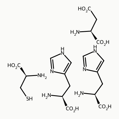 N[C@@H](CC(=O)O)C(=O)O.N[C@@H](CS)C(=O)O.N[C@@H](Cc1c[nH]cn1)C(=O)O.N[C@@H](Cc1c[nH]cn1)C(=O)O